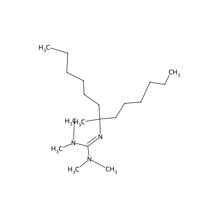 CCCCCCC(C)(CCCCCC)N=C(N(C)C)N(C)C